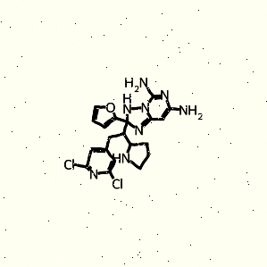 NC1=CC2=NC(c3ccco3)(C(Cc3cc(Cl)nc(Cl)c3)C3CCCN3)NN2C(N)=N1